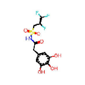 O=C(Cc1cc(O)c(O)c(O)c1)NS(=O)(=O)CC(F)=C(F)F